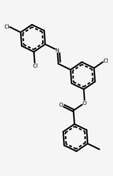 Cc1cccc(C(=O)Oc2cc(Cl)cc(C=Nc3ccc(Cl)cc3Cl)c2)c1